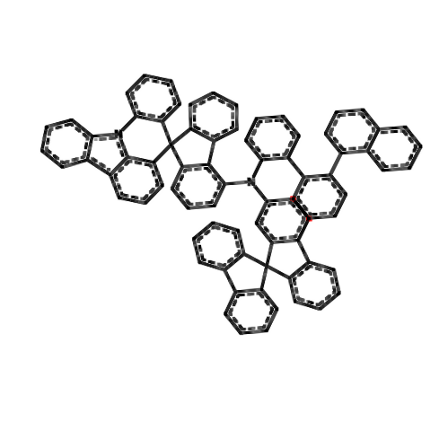 c1ccc(-c2cccc3ccccc23)c(-c2ccccc2N(c2ccc3c(c2)C2(c4ccccc4-c4ccccc42)c2ccccc2-3)c2cccc3c2-c2ccccc2C32c3ccccc3-n3c4ccccc4c4cccc2c43)c1